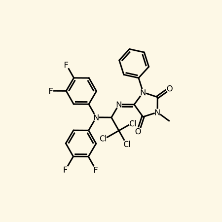 CN1C(=O)C(=NC(N(c2ccc(F)c(F)c2)c2ccc(F)c(F)c2)C(Cl)(Cl)Cl)N(c2ccccc2)C1=O